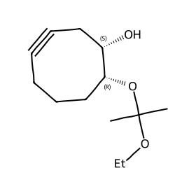 CCOC(C)(C)O[C@@H]1CCCC#CC[C@@H]1O